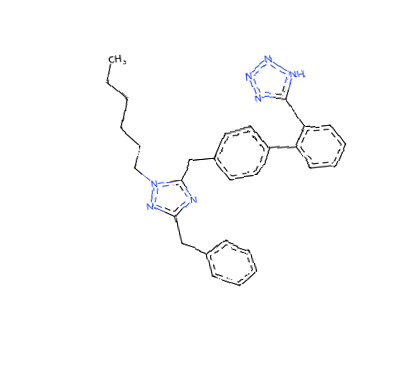 CCCCCCn1nc(Cc2ccccc2)nc1Cc1ccc(-c2ccccc2-c2nnn[nH]2)cc1